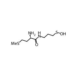 CSCC[C@@H](N)C(=O)NCCCSO